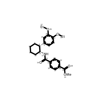 CCOc1ccc([C@H]2CCCC[C@H]2NC(=O)c2ccc(C(=O)OC)cc2)cc1OCC